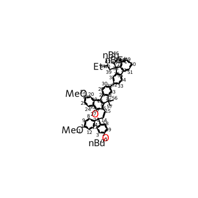 CCCCOc1ccc(C2(c3ccc(OC)cc3)C=Cc3c4c(c5cc(OC)ccc5c3O2)-c2ccc(-c3ccc5c(c3)C(CC(CC)CCCC)(CC(CC)CCCC)c3ccccc3-5)cc2C4(C)C)cc1